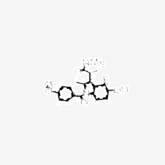 CNC(=O)[C@@H](C)c1c(C)n(C(=O)c2ccc(OC(F)(F)F)cc2)c2ccc(O)c(F)c12